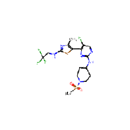 Cc1nc(NCC(F)(F)F)sc1-c1nc(NC2CCN(S(C)(=O)=O)CC2)ncc1F